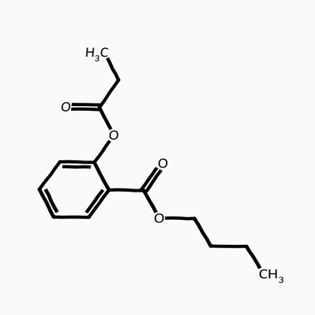 CCCCOC(=O)c1ccccc1OC(=O)CC